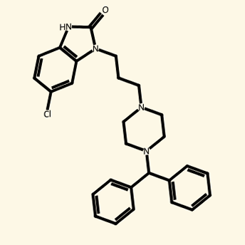 O=c1[nH]c2ccc(Cl)cc2n1CCCN1CCN(C(c2ccccc2)c2ccccc2)CC1